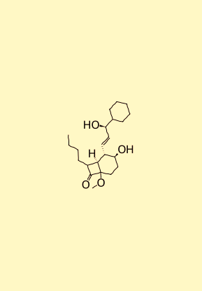 CCCCC1C(=O)C2(OC)CC[C@H](O)[C@@H](/C=C/[C@@H](O)C3CCCCC3)[C@H]12